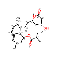 CCC(C)C(=O)O[C@H]1C[C@@H](C)C=C2C=C[C@H](C)[C@H](CC[C@@H]3C[C@@H](O)CC(=O)O3)[C@H]21.[Zn]